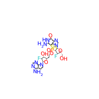 Nc1cc2c(ncn2[C@@H]2O[C@H](CO)[C@@H](F)[C@H]2P(=O)(S)OCC[C@H]2O[C@@H](n3ccc4c(N)ncnc43)[C@@H](F)[C@@H]2O)c(=O)[nH]1